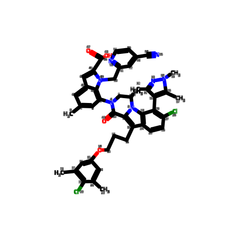 Cc1cc(N2CC(C)n3c(c(CCCOc4cc(C)c(Cl)c(C)c4)c4ccc(Cl)c(-c5c(C)nn(C)c5C)c43)C2=O)c2c(c1)cc(C(=O)O)n2Cc1cc(C#N)ccn1